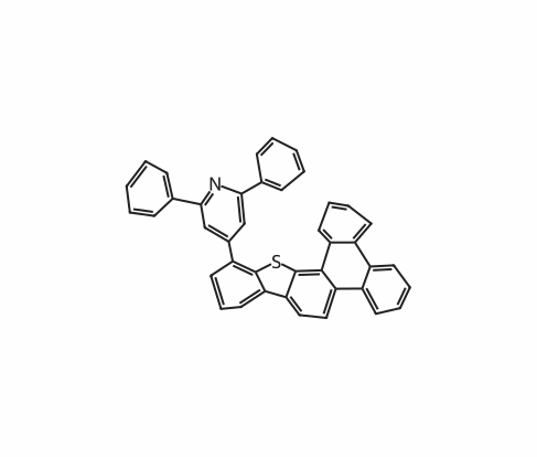 c1ccc(-c2cc(-c3cccc4c3sc3c4ccc4c5ccccc5c5ccccc5c43)cc(-c3ccccc3)n2)cc1